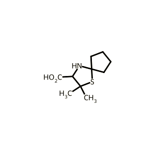 CC1(C)SC2(CCCC2)NC1C(=O)O